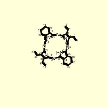 C=CC1=C(C=C)c2nc1nc1[nH]c(nc3nc(nc4[nH]c(n2)c2ccccc42)C(C=C)=C3C=C)c2ccccc12